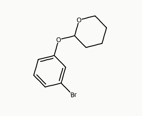 Brc1cccc(OC2CCCCO2)c1